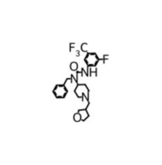 O=C(Nc1cc(F)cc(C(F)(F)F)c1)N(Cc1ccccc1)C1CCN(CC2CCOC2)CC1